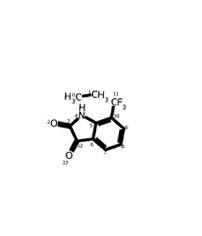 CC.O=C1Nc2c(cccc2C(F)(F)F)C1=O